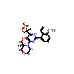 C=Cc1c(NC)cccc1-c1nc2c(c(C(C)(C)S(C)(=O)=O)n1)OC[C@H]1COCCN21